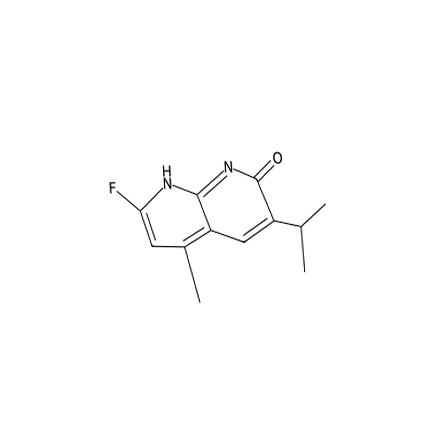 Cc1cc(F)[nH]c2nc(=O)c(C(C)C)cc1-2